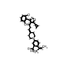 C=C(CC)c1cc(N2CCC(=CCCc3c(-c4c(Cl)cccc4OC)noc3C3CC3)CC2)ccc1/C(=C\C)C(=O)O